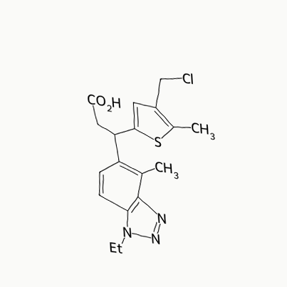 CCn1nnc2c(C)c(C(CC(=O)O)c3cc(CCl)c(C)s3)ccc21